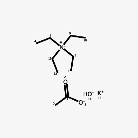 CC(=O)[O-].CC[N+](CC)(CC)CC.[K+].[OH-]